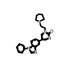 O=c1ncc(-c2ccc3c(c2)ncn3-c2ccccc2)cn1CCN1CCCCC1